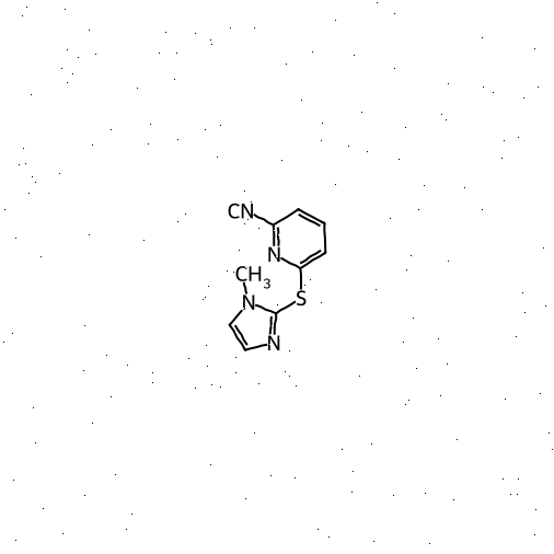 [C-]#[N+]c1cccc(Sc2nccn2C)n1